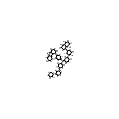 c1ccc(-c2cccc(-c3ccc(N(c4ccc(-c5cccc6oc7ccccc7c56)cc4)c4cccc(-c5cccc(-c6cccc7ccccc67)c5)c4)cc3)c2)cc1